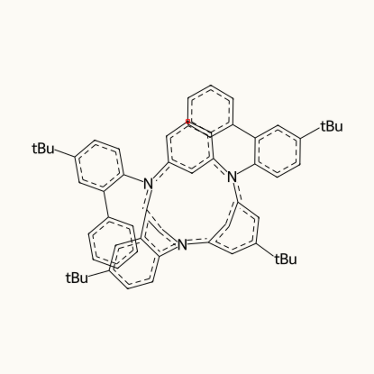 CC(C)(C)c1ccc(-n2c3cccc(c3)n(-c3ccc(C(C)(C)C)cc3-c3ccccc3)c3cn(c4cc(C(C)(C)C)cc2c4)c2ccc(C(C)(C)C)cc32)c(-c2ccccc2)c1